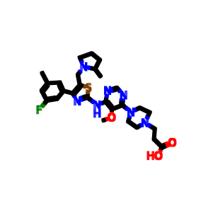 COc1c(Nc2nc(-c3cc(C)cc(F)c3)c(CN3CCCC3C)s2)ncnc1N1CCN(CCC(=O)O)CC1